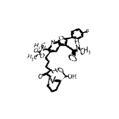 CNC(=O)c1c(-c2ccc(F)cc2)oc2nc(N(C)S(C)(=O)=O)c(CCCCC(=O)N3CCC[C@H]3C(O)O)cc12